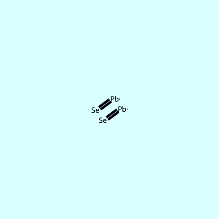 [Se]=[Pb].[Se]=[Pb]